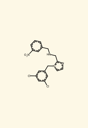 O=[N+]([O-])c1cccc(CNCc2nccn2Cc2cc(Cl)cc(Cl)c2)c1